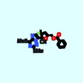 CSc1nc(SC)c2ncc(C3(C#N)O[C@H](COC(=O)c4ccccc4)C[C@@]3(C)F)n2n1